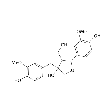 COc1cc(CC2(O)COC(c3ccc(O)c(OC)c3)C2CO)ccc1O